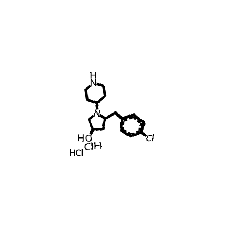 Cl.Cl.OC1CC(Cc2ccc(Cl)cc2)N(C2CCNCC2)C1